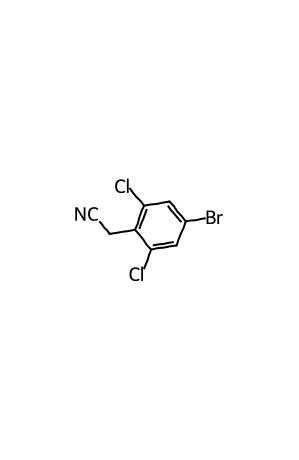 N#CCc1c(Cl)cc(Br)cc1Cl